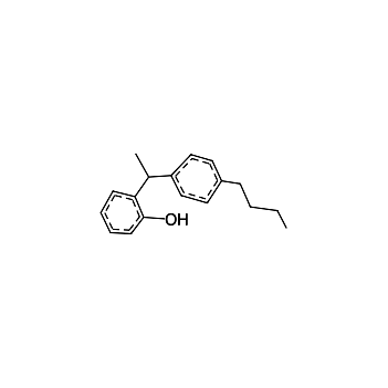 CCCCc1ccc(C(C)c2ccccc2O)cc1